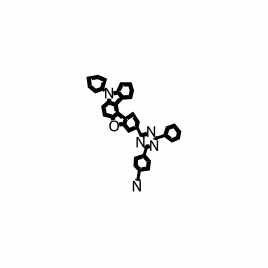 N#Cc1ccc(-c2nc(-c3ccccc3)nc(-c3ccc4c(c3)oc3ccc5c(c6ccccc6n5-c5ccccc5)c34)n2)cc1